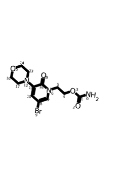 NC(=O)OCCn1cc(Br)cc(N2CCOCC2)c1=O